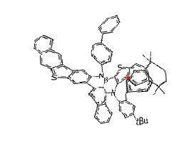 CC(C)(C)c1ccc(N2c3c4c(cc5ccccc35)-c3cc5sc6cc7ccccc7cc6c5cc3N(c3ccc(-c5ccccc5)cc3)B4c3sc4cc5c(cc4c32)C(C)(C)CCC5(C)C)c(-c2ccccc2)c1